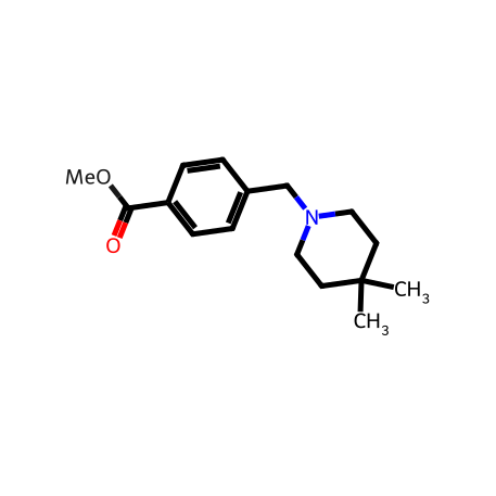 COC(=O)c1ccc(CN2CCC(C)(C)CC2)cc1